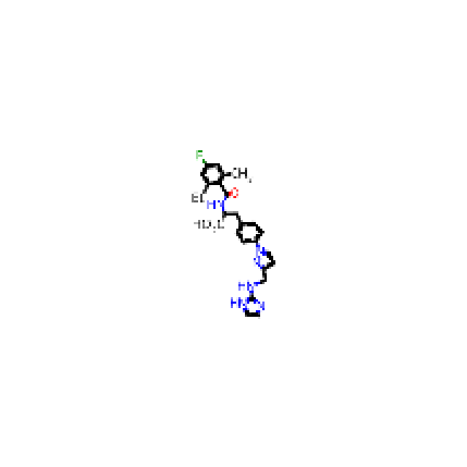 CCc1cc(F)cc(C)c1C(=O)NC(Cc1ccc(-n2ccc(CNc3ncc[nH]3)n2)cc1)C(=O)O